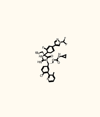 Cc1cccnc1-c1cc([C@@H](COC(=O)NC2CC2)N2C(=N)N[C@](CC(C)(C)C)(C3CC=C(c4cnn(C(F)F)c4)C=C3F)C2=O)ccc1Cl